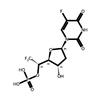 O=c1[nH]c(=O)n([C@H]2C[C@H](O)[C@@H]([C@H](OP(=O)(O)O)C(F)(F)F)O2)cc1F